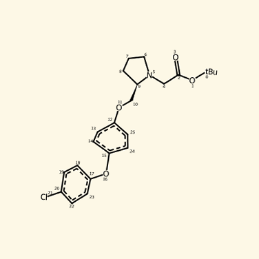 CC(C)(C)OC(=O)CN1CCC[C@@H]1COc1ccc(Oc2ccc(Cl)cc2)cc1